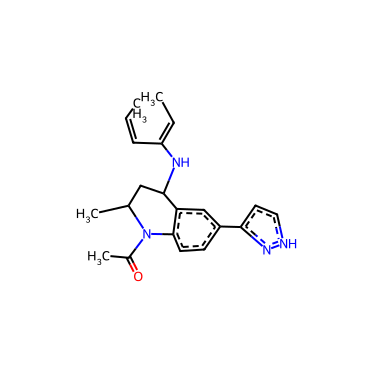 C/C=C\C(=C/C)NC1CC(C)N(C(C)=O)c2ccc(-c3cc[nH]n3)cc21